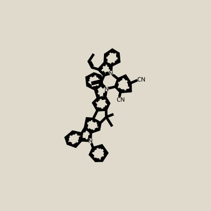 C=Cc1c(/C=C\C)c2ccccc2n1-c1cc(C#N)cc(C#N)c1-n1c2ccccc2c2cc3c(cc21)C(C)(C)c1cc2c(cc1-3)c1ccccc1n2-c1ccccc1